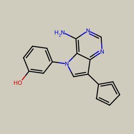 Nc1ncnc2c(C3=C=CC=C3)cn(-c3cccc(O)c3)c12